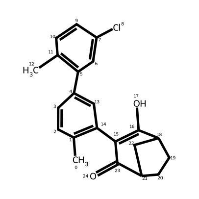 Cc1ccc(-c2cc(Cl)ccc2C)cc1C1=C(O)C2CCC(C2)C1=O